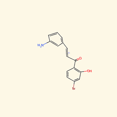 Nc1cccc(/C=C/C(=O)c2ccc(Br)cc2O)c1